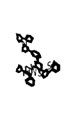 c1ccc(-c2nc(-c3ccccc3)nc(-c3cc(-c4cccc(-c5cccc(-n6c7ccccc7c7ccccc76)c5)c4)cc4c3sc3ccc5c6ccccc6sc5c34)n2)cc1